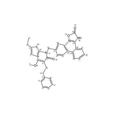 CCc1cc2c(OC)c(CCc3ccccc3)c(=O)n(Cc3ccc(-c4ccccc4-c4noc(=O)[nH]4)cc3)c2s1